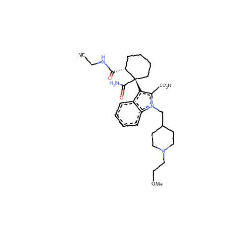 COCCN1CCC(Cn2c(C(=O)O)c([C@]3(C(N)=O)CCCC[C@H]3C(=O)NCC#N)c3ccccc32)CC1